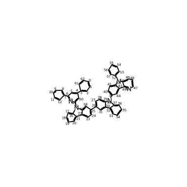 c1ccc(-c2cc(-c3ccccc3)nc(-n3c4ccccc4c4ccc(-c5ccc6c(c5)c5ccccc5n6-c5ccc6c(c5)c5ncccc5n6-c5ccccc5)cc43)c2)cc1